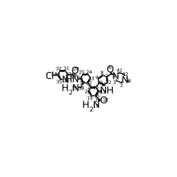 CN1CCN(C(=O)c2ccc3c(c2)[nH]c2c(C(N)=O)ccc(-c4cccc(NC(=O)c5ccc(Cl)cn5)c4CN)c23)CC1